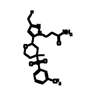 CC1(S(=O)(=O)c2cccc(C(F)(F)F)c2)CCOC(c2cc(CF)nn2CCC(N)=O)C1